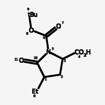 CCC1CC(C(=O)O)N(C(=O)OC(C)(C)C)C1=O